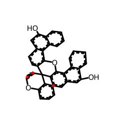 Oc1cc2ccc3c(c2c2ccccc12)Oc1c(ccc2cc(O)c4ccccc4c12)C31c2ccccc2Oc2ccccc21